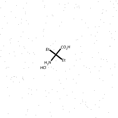 CCC(N)(CC)C(=O)O.Cl